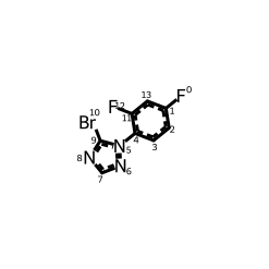 Fc1ccc(-n2ncnc2Br)c(F)c1